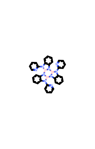 c1ccc(N2B3N(B4N(B5N3c3ccccc3N5c3ccccn3)c3ccccc3N4c3ccccn3)c3ccccc32)nc1